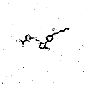 CCCCC[C@@H](O)c1ccc(N2C(=O)CC[C@@H]2CCSc2nc(C(=O)O)cs2)cc1